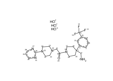 Cl.Cl.Cl.NCC1(c2cccc(C(F)(F)F)c2)CCN(C(=O)CN2CCN(c3ncccn3)CC2)CC1